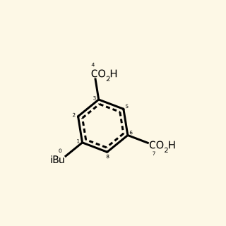 CCC(C)c1cc(C(=O)O)cc(C(=O)O)c1